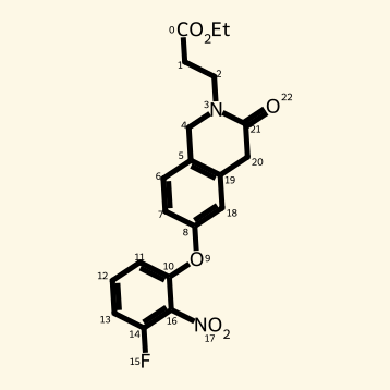 CCOC(=O)CCN1Cc2ccc(Oc3cccc(F)c3[N+](=O)[O-])cc2CC1=O